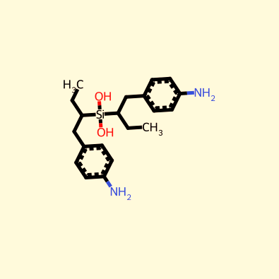 CCC(Cc1ccc(N)cc1)[Si](O)(O)C(CC)Cc1ccc(N)cc1